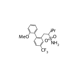 COc1ccccc1-c1ccc(C(F)(F)F)cc1CC(C(C)C)S(N)(=O)=O